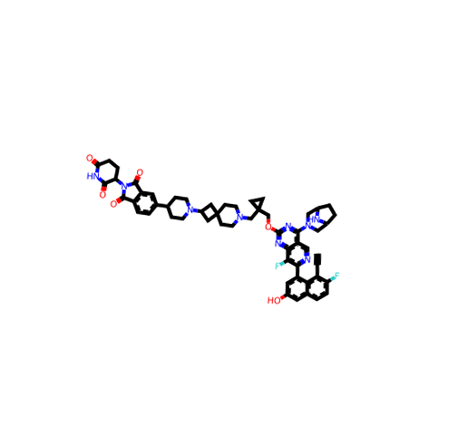 C#Cc1c(F)ccc2cc(O)cc(-c3ncc4c(N5CC6CCC(C5)N6)nc(OCC5(CN6CCC7(CC6)CC(N6CCC(c8ccc9c(c8)C(=O)N(C8CCC(=O)NC8=O)C9=O)CC6)C7)CC5)nc4c3F)c12